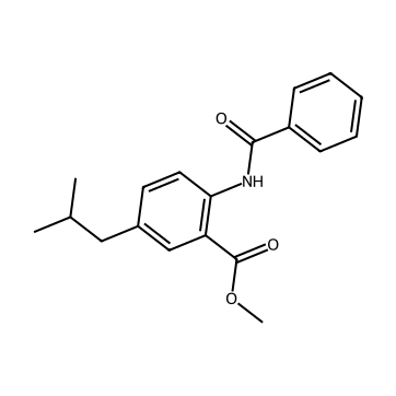 COC(=O)c1cc(CC(C)C)ccc1NC(=O)c1ccccc1